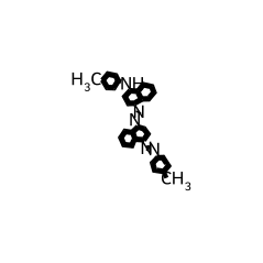 Cc1ccc(N=Nc2ccc(N=Nc3ccc(Nc4ccc(C)cc4)c4ccccc34)c3ccccc23)cc1